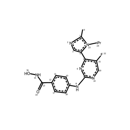 Cc1ncc(-c2nc(Nc3ccc(C(=O)NO)cc3)ncc2F)n1C(C)C